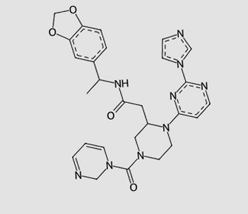 CC(NC(=O)CC1CN(C(=O)N2C=CC=NC2)CCN1c1ccnc(-n2ccnc2)n1)c1ccc2c(c1)OCO2